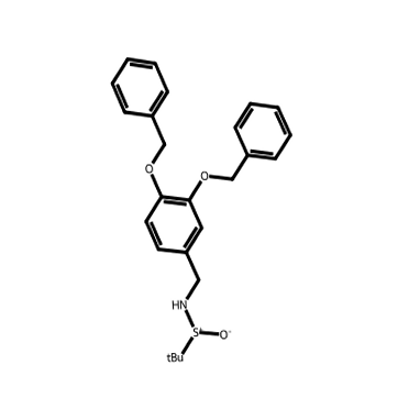 CC(C)(C)[S+]([O-])NCc1ccc(OCc2ccccc2)c(OCc2ccccc2)c1